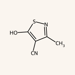 Cc1nsc(O)c1C#N